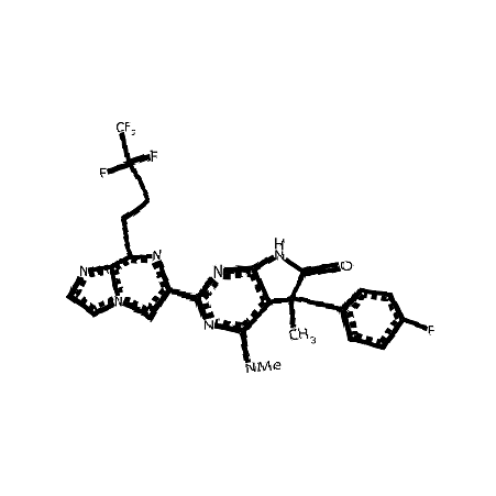 CNc1nc(-c2cn3ccnc3c(CCC(F)(F)C(F)(F)F)n2)nc2c1C(C)(c1ccc(F)cc1)C(=O)N2